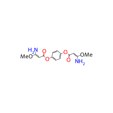 COC(N)=CC(=O)Oc1ccc(OC(=O)C=C(N)OC)cc1